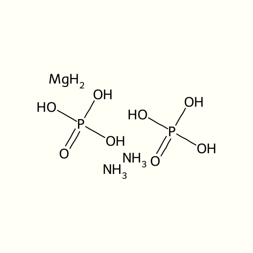 N.N.O=P(O)(O)O.O=P(O)(O)O.[MgH2]